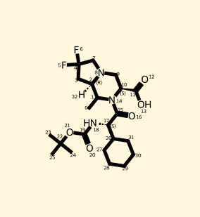 CC1[C@H]2CC(F)(F)CN2C[C@@H](C(=O)O)N1C(=O)[C@@H](NC(=O)OC(C)(C)C)C1CCCCC1